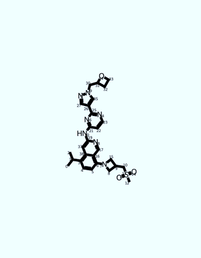 CC(C)c1ccc(N2CC(CS(C)(=O)=O)C2)c2cnc(Nc3ccnc(-c4cnn(CC5CCO5)c4)n3)cc12